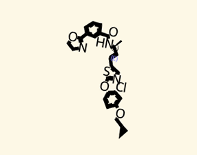 C[C@@H](/C=C/c1cnc(Oc2ccc(OCC3CC3)cc2Cl)s1)NC(=O)c1cccc(C2=NCCO2)c1